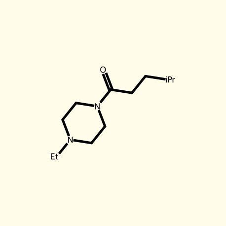 CCN1CCN(C(=O)CCC(C)C)CC1